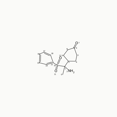 CC(N)(C1CCC(=O)CC1)S(=O)(=O)c1ccccc1